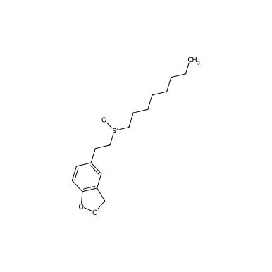 CCCCCCCC[S+]([O-])CCc1ccc2c(c1)COO2